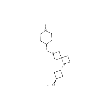 CO[C@H]1C[C@H](N2CCC23CN(CC2CCN(C)CC2)C3)C1